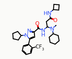 CN(C1CCCCC1)C(CC(=O)NC1CCC1)NC(=O)c1cc(-c2ccccc2C(F)(F)F)n(C2CCCC2)n1